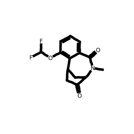 CN1C(=O)c2cccc(OC(F)F)c2C2CC(=O)C1C2